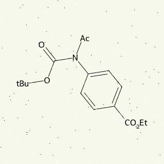 CCOC(=O)c1ccc(N(C(C)=O)C(=O)OC(C)(C)C)cc1